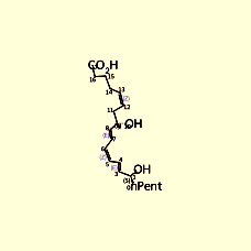 CCCCC[C@H](O)/C=C/C=C\C=C\[C@@H](O)C/C=C\CCCC(=O)O